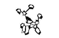 c1ccc(-c2cc(-c3ccccc3)nc(-c3ccc(-n4c5ccccc5c5ccc6oc7ccccc7c6c54)c(-c4cc(-c5ccccc5)nc(-c5ccccc5)n4)c3)c2)cc1